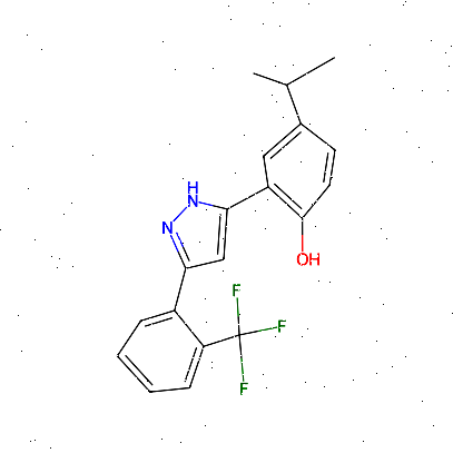 CC(C)c1ccc(O)c(-c2cc(-c3ccccc3C(F)(F)F)n[nH]2)c1